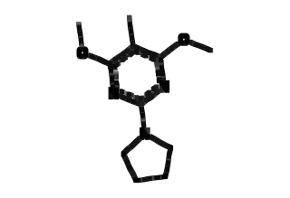 COc1nc(N2CCCC2)nc(OC)c1C